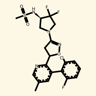 Cc1cnc(C2CC(N3C[C@@H](NS(C)(=O)=O)C(F)(F)C3)=NO2)c(-c2c(F)cccc2Cl)c1